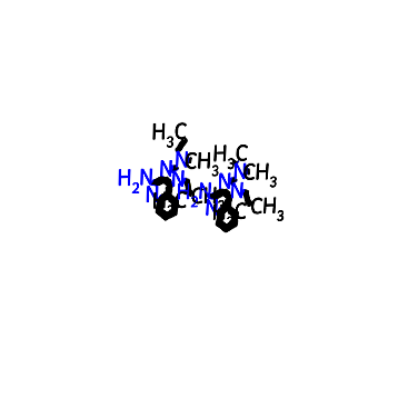 CCCN(C)c1nc2c(N)nc3ccccc3c2n1CC(C)C.CCN(C)c1nc2c(N)nc3ccccc3c2n1CC(C)C